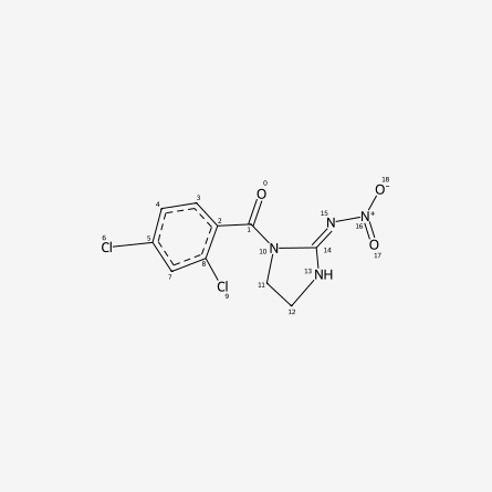 O=C(c1ccc(Cl)cc1Cl)N1CCN/C1=N\[N+](=O)[O-]